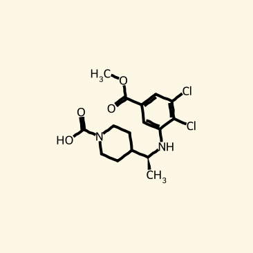 COC(=O)c1cc(Cl)c(Cl)c(N[C@@H](C)C2CCN(C(=O)O)CC2)c1